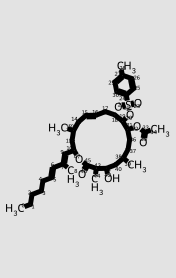 CCCCC/C=C/C(C)=C/C1CC(C)C/C=C/CCC(OS(=O)(=O)c2ccc(C)cc2)C(OC(C)=O)CCC(C)CC(O)C(C)C(=O)O1